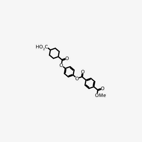 COC(=O)c1ccc(C(=O)Oc2ccc(OC(=O)C3CCC(C(=O)O)CC3)cc2)cc1